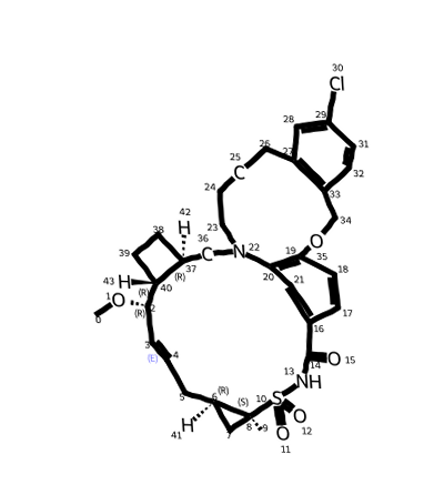 CO[C@H]1/C=C/C[C@@H]2C[C@]2(C)S(=O)(=O)NC(=O)c2ccc3c(c2)N(CCCCc2cc(Cl)ccc2CO3)C[C@@H]2CC[C@H]21